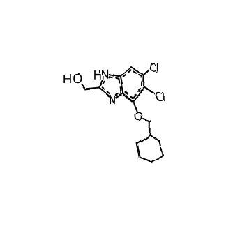 OCc1nc2c(OCC3CCCCC3)c(Cl)c(Cl)cc2[nH]1